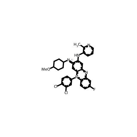 COC1CCC(/N=c2\cc3n(-c4ccc(Cl)c(Cl)c4)c4ccc(F)cc4nc-3cc2Nc2cccnc2C)CC1